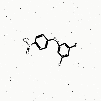 O=[N+]([O-])c1ccc(Sc2cc(F)cc(F)c2)cc1